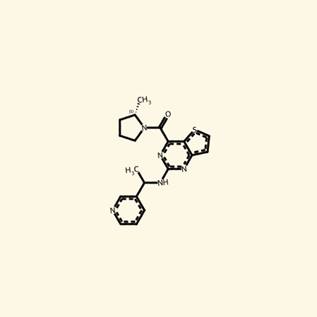 CC(Nc1nc(C(=O)N2CCC[C@@H]2C)c2sccc2n1)c1cccnc1